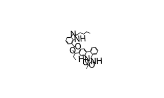 CCCCc1nc2cccc(C(=O)OC(CC)c3ccc(-c4ccccc4C(=N)NOC(C)=O)cc3)c2[nH]1